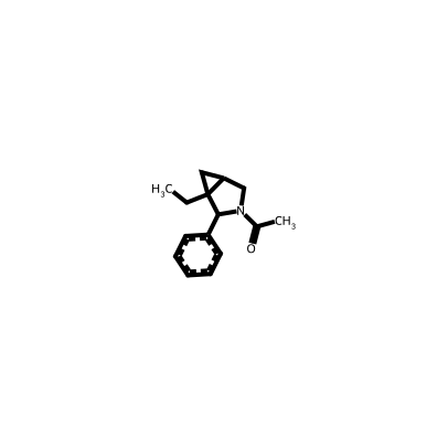 CCC12CC1CN(C(C)=O)C2c1ccccc1